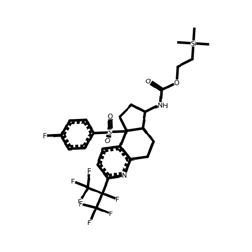 C[Si](C)(C)CCOC(=O)NC1CCC2(S(=O)(=O)c3ccc(F)cc3)c3ccc(C(F)(C(F)(F)F)C(F)(F)F)nc3CCC12